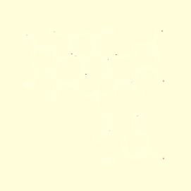 O=C(OCC(COC(=O)c1c(O)cc(O)cc1O)(COC(=O)c1c(O)cc(O)cc1O)COC(=O)c1c(O)cc(O)cc1O)c1c(O)cc(O)cc1O